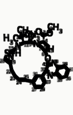 COC(=O)[C@@H]1C[C@@H]2CN1C(=O)[C@H](C(C)(C)C)Nc1nc(cs1)CC/C=C/c1cccc(c1)-c1nc3ccccc3nc1O2